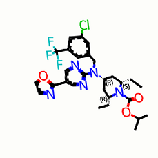 CC[C@@H]1C[C@H](N(Cc2cc(Cl)cc(C(F)(F)F)c2)c2ncc(-c3ncco3)cn2)C[C@H](CC)N1C(=O)OC(C)C